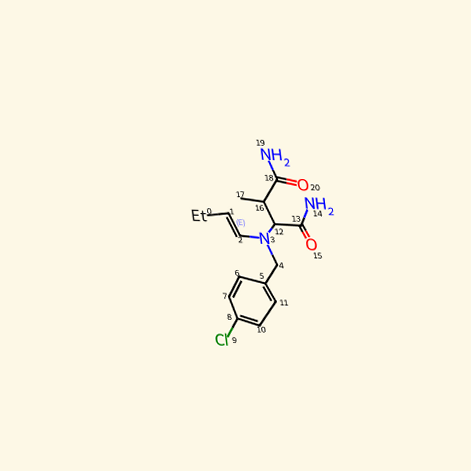 CC/C=C/N(Cc1ccc(Cl)cc1)C(C(N)=O)C(C)C(N)=O